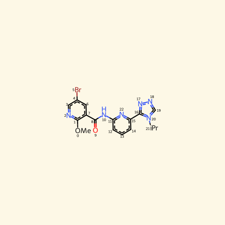 COc1ncc(Br)cc1C(=O)Nc1cccc(-c2nncn2C(C)C)n1